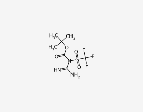 CC(C)(C)OC(=O)N(C(=N)N)S(=O)(=O)C(F)(F)F